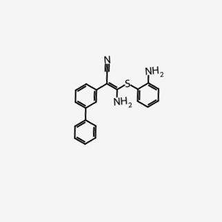 N#C/C(=C(/N)Sc1ccccc1N)c1cccc(-c2ccccc2)c1